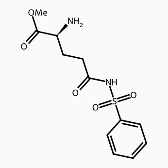 COC(=O)[C@@H](N)CCC(=O)NS(=O)(=O)c1ccccc1